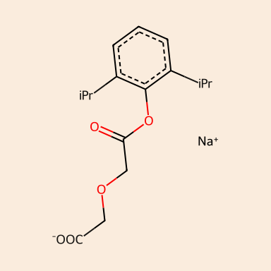 CC(C)c1cccc(C(C)C)c1OC(=O)COCC(=O)[O-].[Na+]